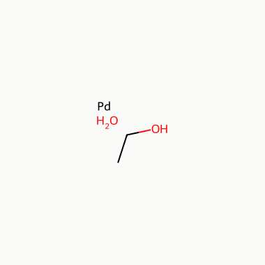 CCO.O.[Pd]